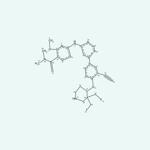 COc1nc(Nc2cc(-c3ccc(OC4CCNCC4(CF)CF)c(C#N)c3)ncn2)ccc1C(=O)N(C)C